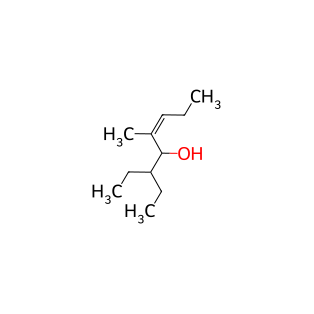 CCC=C(C)C(O)C(CC)CC